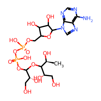 C[C@H](O)C(OC(OP(=O)(O)OP(=O)(O)OCC1OC(n2cnc3c(N)ncnc32)C(O)C1O)[C@H](O)CO)[C@@H](O)CO